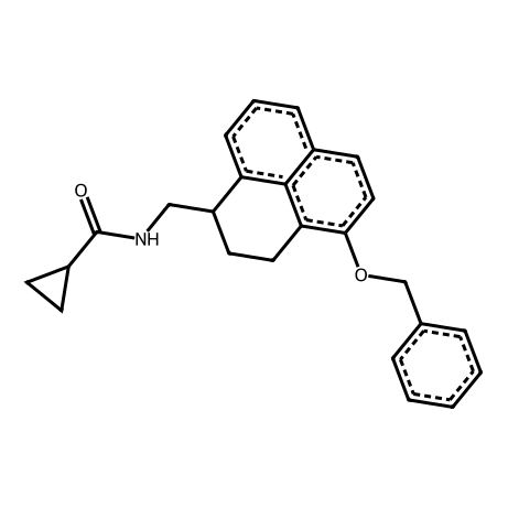 O=C(NCC1CCc2c(OCc3ccccc3)ccc3cccc1c23)C1CC1